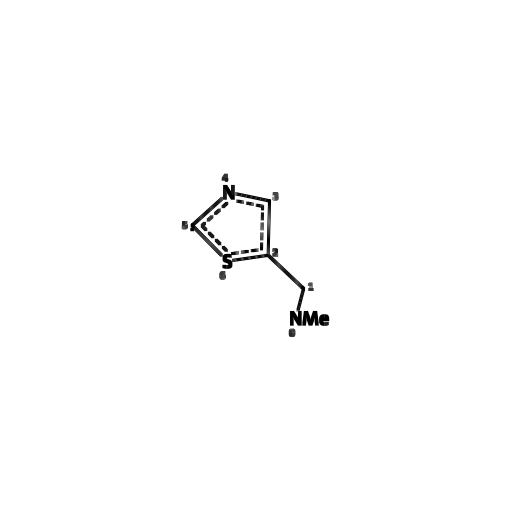 CNCc1cn[c]s1